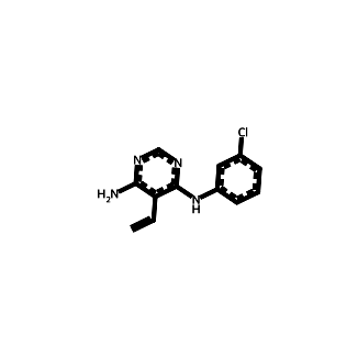 C=Cc1c(N)ncnc1Nc1cccc(Cl)c1